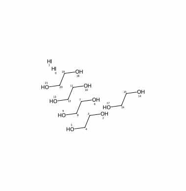 I.I.OCCO.OCCO.OCCO.OCCO.OCCO